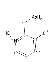 Cl.Clc1nccnc1C[AsH2]